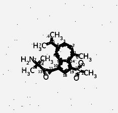 Cc1ccc(C(C)C)cc2c(C3OC3C(C)(C)N)cc(S(C)(=O)=O)c1-2